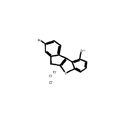 Brc1ccc2c(c1)Cc1sc3ccc[c]([Zr+3])c3c1-2.[Cl-].[Cl-].[Cl-]